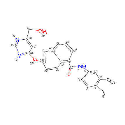 Cc1ccc(NC(=O)c2cccc3cc(Oc4cc(CO)ncn4)ccc23)cc1C(F)(F)F